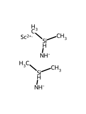 C[SiH](C)[NH-].C[SiH](C)[NH-].[Sc+2]